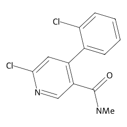 CNC(=O)c1cnc(Cl)cc1-c1ccccc1Cl